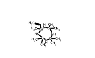 C=C[Si]1(C)N[Si](C)(C)N[Si](C)(C)N[Si](C)(C)N1